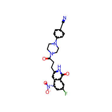 N#Cc1ccc(N2CCN(C(=O)CCc3cc4c([N+](=O)[O-])cc(F)cc4c(=O)[nH]3)CC2)cc1